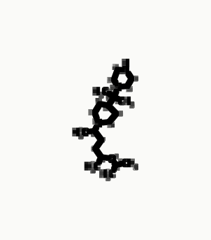 CC(C)OC(C)CCC(C)N1CCC(C(C)(C)N2CCNCC2)CC1